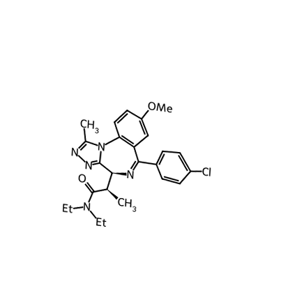 CCN(CC)C(=O)[C@H](C)[C@@H]1N=C(c2ccc(Cl)cc2)c2cc(OC)ccc2-n2c(C)nnc21